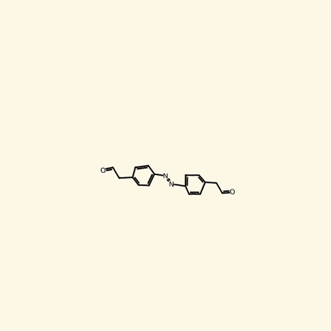 O=CCc1ccc(N=Nc2ccc(CC=O)cc2)cc1